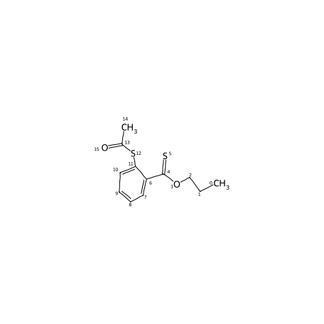 CCCOC(=S)c1ccccc1SC(C)=O